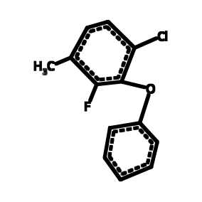 Cc1ccc(Cl)c(Oc2ccccc2)c1F